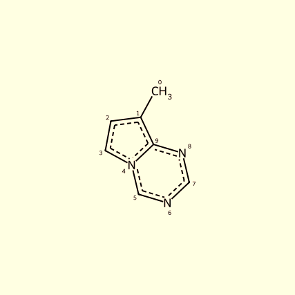 Cc1ccn2cncnc12